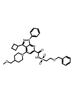 COCC1CCN(c2cc(C(=O)NS(=O)(=O)CCOCc3ccccc3)nc3c2c(C2CCC2)nn3-c2ccccc2)CC1